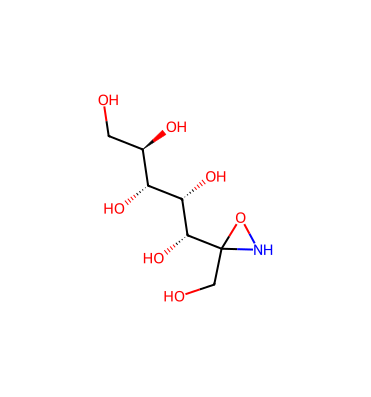 OC[C@@H](O)[C@@H](O)[C@H](O)[C@@H](O)C1(CO)NO1